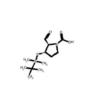 CC(C)(C)[Si](C)(C)O[C@@H]1CCN(C(=O)O)[C@@H]1C=O